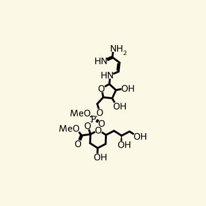 COC(=O)C1(OP(=O)(OC)OCC2OC(N/C=C\C(=N)N)C(O)C2O)CC(O)CC(C[C@H](O)CO)O1